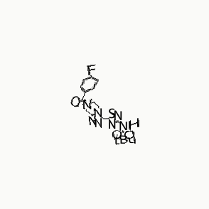 CC(C)(C)OC(=O)Nc1nsc(-c2nnc3n2CCN(C(=O)c2ccc(F)cc2)C3)n1